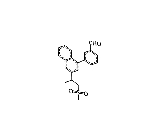 CC(CS(C)(=O)=O)c1cc(-c2cccc(C=O)c2)c2ccccc2c1